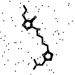 CCOc1nsn(NCCSCc2ccc(CN(C)C)o2)c1=O